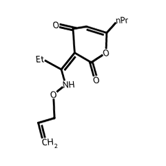 C=CCONC(CC)=C1C(=O)C=C(CCC)OC1=O